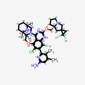 Cc1cc(N)nc(-c2c(Cl)c3c4c(nc(OC[C@@]56CCCN5CC5(CC5(F)F)C6)nc4c2F)N2C[C@H]4CCC[C@H](N4)[C@H]2CO3)c1C(F)(F)F